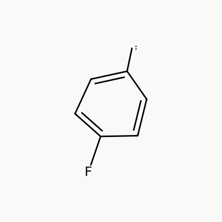 [CH]c1ccc(F)cc1